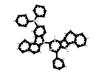 c1ccc(-c2nc(-n3c4ccc(N(c5ccccc5)c5ccccc5)cc4c4c5ccccc5ccc43)nc3c2sc2c4ccccc4ccc32)cc1